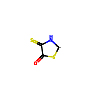 O=C1S[CH]NC1=S